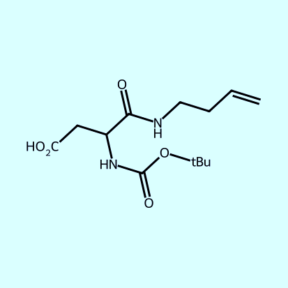 C=CCCNC(=O)C(CC(=O)O)NC(=O)OC(C)(C)C